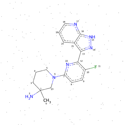 CC1(N)CCCN(c2ccc(F)c(-c3n[nH]c4ncccc34)n2)C1